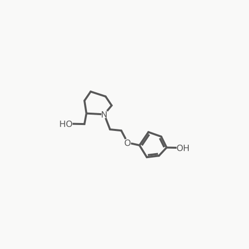 OCC1CCCCN1CCOc1ccc(O)cc1